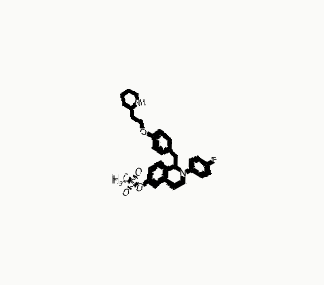 CS(=O)(=O)Oc1ccc2c(c1)CCN(c1ccc(F)cc1)C2Cc1ccc(OCCC2CCCCN2)cc1